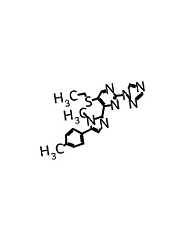 CCSc1cnc(-n2cncn2)nc1-c1ncc(-c2ccc(C)cc2)n1C